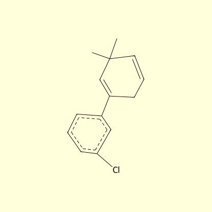 CC1(C)C=CCC(c2cccc(Cl)c2)=C1